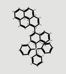 c1ccc([Si](c2ccccc2)(c2ccccc2)c2ccc(-c3ccc4ccc5cccc6ccc3c4c56)c3ccccc23)cc1